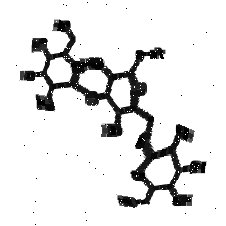 CCCOC1OC(COC2OC(CO)C(O)C(O)C2O)C(O)C(OC2OC(CO)C(O)C(O)C2O)C1O